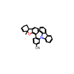 CC12C=CCCC1c1cccc(-c3ccc(C#N)cc3-n3c4ccccc4c4ccccc43)c1O2